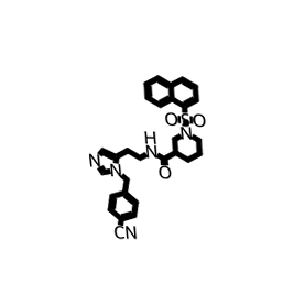 N#Cc1ccc(Cn2cncc2CCNC(=O)C2CCCN(S(=O)(=O)c3cccc4ccccc34)C2)cc1